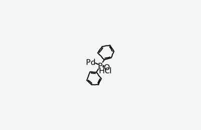 Cl.O=[P]([Pd])(c1ccccc1)c1ccccc1